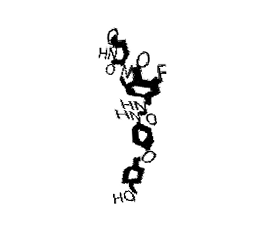 O=C1CCC(N2Cc3cc(CNC(=O)Nc4ccc(OCc5ccc(CO)cc5)cc4)cc(F)c3C2=O)C(=O)N1